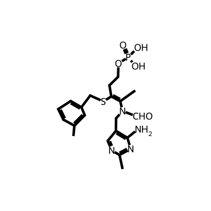 C/C(=C(\CCOP(=O)(O)O)SCc1cccc(C)c1)N(C=O)Cc1cnc(C)nc1N